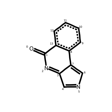 O=C1N=C2C=NC=C2c2ccccc21